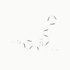 O=C(O)C(=Cc1ccc(-c2ccccc2)o1)NC(=O)c1ccc([N+](=O)[O-])cc1